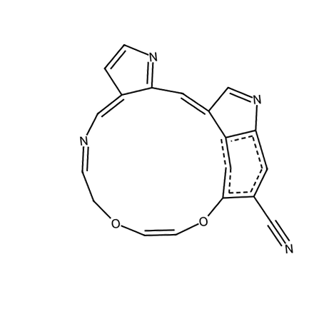 N#Cc1cc2c3cc1OC=COCC=NC=C1C=CN=C1C=C3C=N2